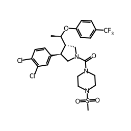 C[C@@H](Oc1ccc(C(F)(F)F)cc1)[C@@H]1CN(C(=O)N2CCN(S(C)(=O)=O)CC2)C[C@H]1c1ccc(Cl)c(Cl)c1